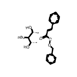 CCCCC([C@H](C)O)[C@@H](C)O.O=C(C=Cc1ccccc1)OOCc1ccccc1